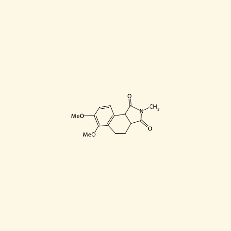 COc1ccc2c(c1OC)CCC1C(=O)N(C)C(=O)C21